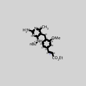 CCCCNc1nc(N)nc(C)c1Cc1ccc(/C=C/C(=O)OCC)cc1OC